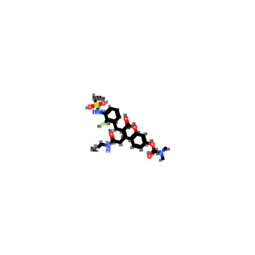 CNS(=O)(=O)Nc1cccc(Cc2c(CC(=O)NCC#N)c3ccc(OC(=O)N(C)C)cc3oc2=O)c1F